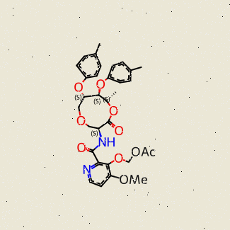 COc1ccnc(C(=O)N[C@H]2COC[C@H](Oc3ccc(C)cc3)[C@@H](Oc3ccc(C)cc3)[C@H](C)OC2=O)c1OCOC(C)=O